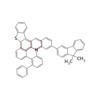 CC1(C)c2ccccc2-c2cc(-c3cccc(N(c4ccc5sc6ccccc6c5c4)c4cccc(-c5ccccc5)c4-c4ccccc4-c4ccccc4)c3)ccc21